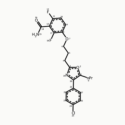 CCCc1oc(CCCOc2ccc(F)c(C(N)=O)c2F)nc1-c1ccc(Cl)cc1